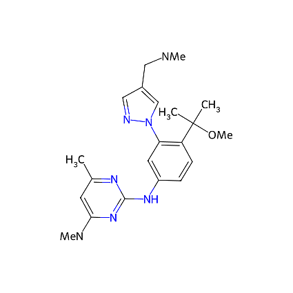 CNCc1cnn(-c2cc(Nc3nc(C)cc(NC)n3)ccc2C(C)(C)OC)c1